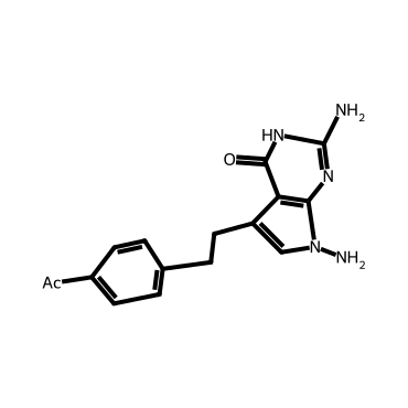 CC(=O)c1ccc(CCc2cn(N)c3nc(N)[nH]c(=O)c23)cc1